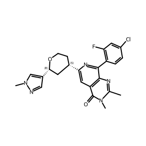 Cc1nc2c(-c3ccc(Cl)cc3F)nc([C@H]3CCO[C@@H](c4cnn(C)c4)C3)cc2c(=O)n1C